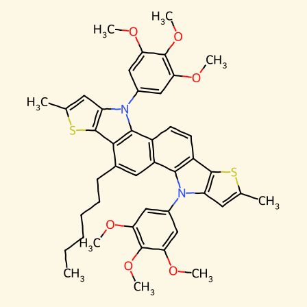 CCCCCCc1cc2c(ccc3c4sc(C)cc4n(-c4cc(OC)c(OC)c(OC)c4)c23)c2c1c1sc(C)cc1n2-c1cc(OC)c(OC)c(OC)c1